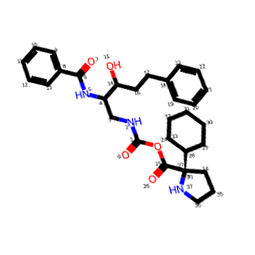 O=C(NCC(NC(=O)c1ccccc1)C(O)CCc1ccccc1)OC(=O)[C@]1(C2CCCCC2)CCCN1